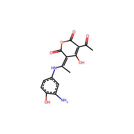 CC(=O)C1=C(O)/C(=C(\C)Nc2ccc(O)c(N)c2)C(=O)OC1=O